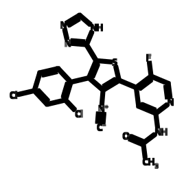 [C-]#[N+]c1c(-c2cc(NC(C)=O)ncc2F)sc(-c2nnc[nH]2)c1-c1ccc(Cl)cc1Cl